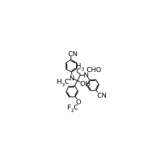 CC(N(C=O)c1ccc(C#N)cc1)C(O)(c1cccc(OC(F)(F)F)c1)N(C)c1ccc(C#N)cc1